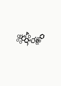 COc1c(N2CCN(P(=O)(OC)Oc3ccccc3)C(C)C2)c(F)cc2c(=O)c(C(=O)O)cn(C3CC3)c12